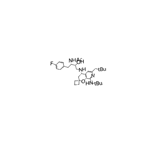 CC(=O)N[C@@H](Cc1ccc(F)cc1)[C@@H](O)CN[C@H]1CC2(CCC2)Oc2c1cc(CC(C)(C)C)nc2NC(C)(C)C